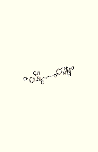 O=C1CN2Cc3ccc(OCCCCCC(=O)N(CCO)Cc4ccc(Cl)cc4)cc3N=C2N1